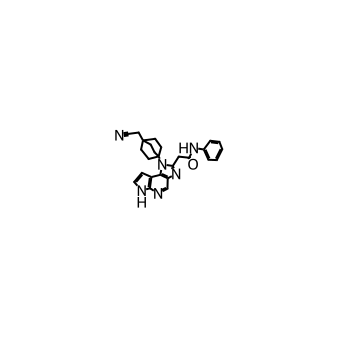 N#CCC12CCC(n3c(CC(=O)Nc4ccccc4)nc4cnc5[nH]ccc5c43)(CC1)CC2